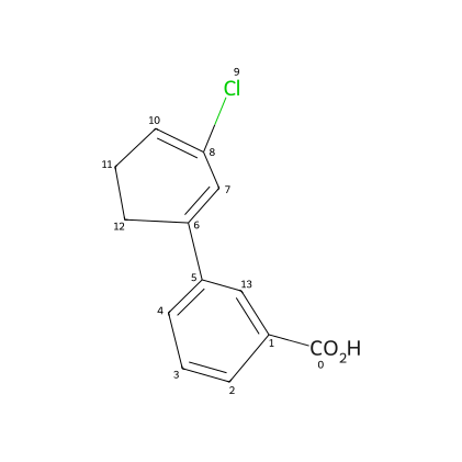 O=C(O)c1cccc(C2=CC(Cl)=CCC2)c1